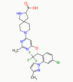 Cc1ccn(-c2cc(Br)ccc2[C@@H](Oc2cc(N3CCC4(CC3)CNC(C(=O)O)C4)nc(C)n2)C(F)(F)F)n1